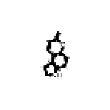 C=C1C=Cc2c(ccc3[nH]ccc23)O1